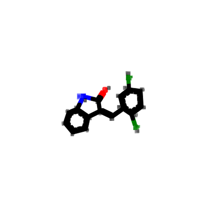 O=C1Nc2ccccc2C1=Cc1cc(Br)ccc1Br